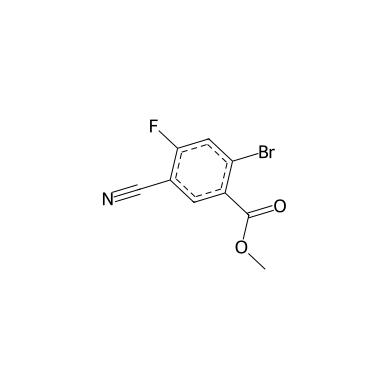 COC(=O)c1cc(C#N)c(F)cc1Br